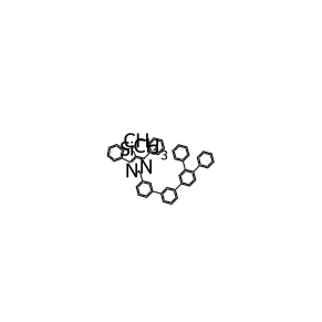 C[Si]1(C)c2ccccc2-c2nc(-c3cccc(-c4cccc(-c5ccc(-c6ccccc6)c(-c6ccccc6)c5)c4)c3)nc(-c3ccccc3)c21